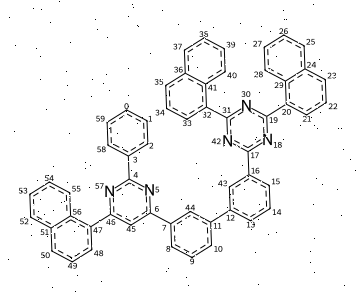 c1ccc(-c2nc(-c3cccc(-c4cccc(-c5nc(-c6cccc7ccccc67)nc(-c6cccc7ccccc67)n5)c4)c3)cc(-c3cccc4ccccc34)n2)cc1